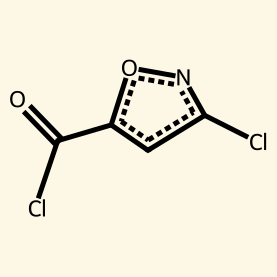 O=C(Cl)c1cc(Cl)no1